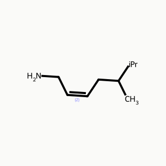 CC(C)C(C)C/C=C\CN